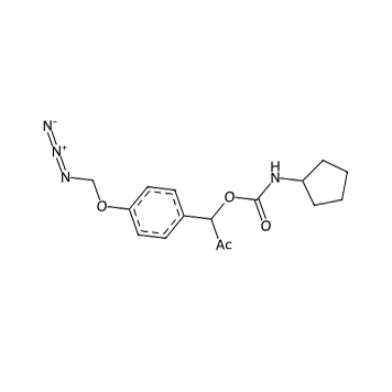 CC(=O)C(OC(=O)NC1CCCC1)c1ccc(OCN=[N+]=[N-])cc1